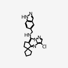 Clc1cnn2c(NCc3ccc4[nH]ncc4c3)c3c(nc12)C1(CCCC1)CC3